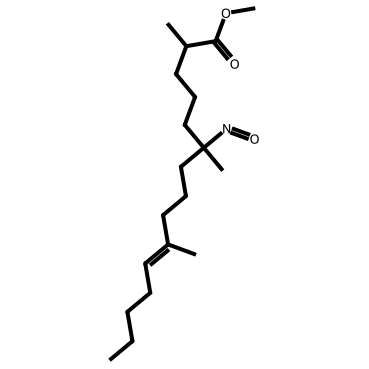 CCCC/C=C(\C)CCCC(C)(CCCC(C)C(=O)OC)N=O